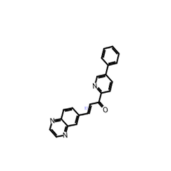 O=C(/C=C/c1ccc2nccnc2c1)c1ccc(-c2ccccc2)cn1